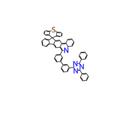 c1ccc(-c2nc(-c3ccccc3)nc(-c3cccc(-c4cccc(-c5nc6ccccc6c6cc7c(cc56)-c5ccccc5C75c6ccccc6Sc6ccccc65)c4)c3)n2)cc1